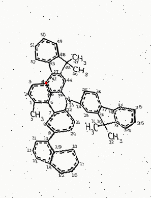 Cc1ccccc1-c1cc(-c2cccc3ccccc23)ccc1N(c1ccc2c(c1)C(C)(C)c1ccccc1-2)c1ccc2c(c1)C(C)(C)c1ccccc1-2